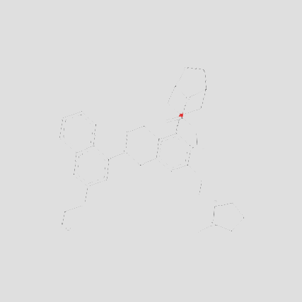 COCOc1cc(N2CCc3c(nc(OC[C@@H]4CCCN4C)nc3N3CC4CCC(C3)N4C(=O)OC(C)(C)C)C2)c2ccccc2c1